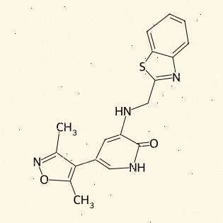 Cc1noc(C)c1-c1c[nH]c(=O)c(NCc2nc3ccccc3s2)c1